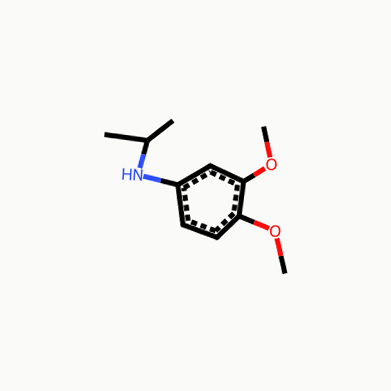 COc1ccc(NC(C)C)cc1OC